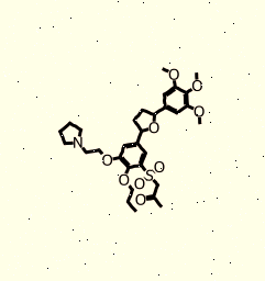 CCCOc1c(OCCN2CCCC2)cc(C2CCC(c3cc(OC)c(OC)c(OC)c3)O2)cc1S(=O)(=O)CC(C)=O